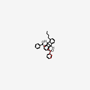 CCCCc1cccc2c1[C@H]1c3cccc(CCCC)c3[C@H]2C(OC(=O)c2ccccc2)C1OC(=O)c1ccccc1